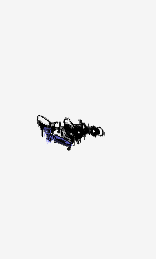 COc1cc2nn(C3CCC(=O)CC3)cc2cc1NC(=O)/C(I)=C/C=C\C(=N\O)C(C)C